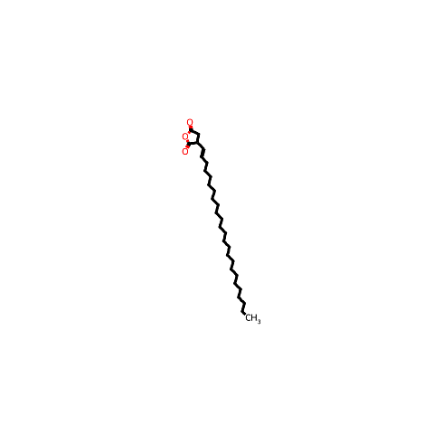 CCCCCCCCCCCCCCCCCCCCCCCC=CC1CC(=O)OC1=O